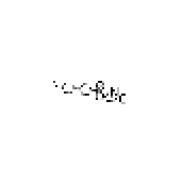 CCC1CCC(C2CCC(C(=O)Oc3ccc(Cl)nc3)CC2)CC1